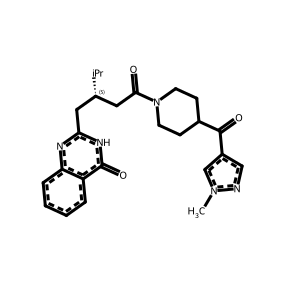 CC(C)[C@H](CC(=O)N1CCC(C(=O)c2cnn(C)c2)CC1)Cc1nc2ccccc2c(=O)[nH]1